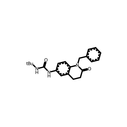 CC(C)(C)NC(=O)Nc1ccc2c(c1)CCC(=O)N2Cc1ccccc1